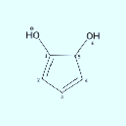 OC1=CC=CC1O